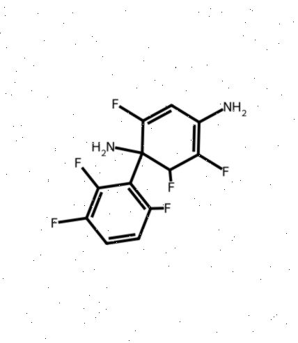 NC1=C(F)C(F)C(N)(c2c(F)ccc(F)c2F)C(F)=C1